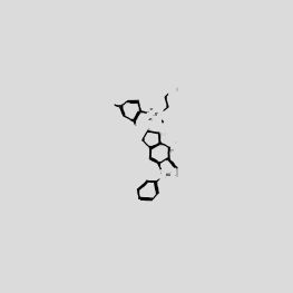 C[C@H]1C2=CNN(c3ccc(F)cc3)C2=CC2=C1[C@@H](CN(CCO)S(=O)(=O)c1ccc(F)cc1F)CC2